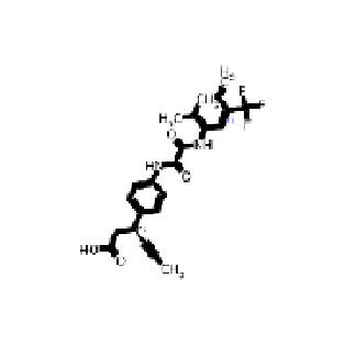 C=C/C(=C\C(NC(=O)C(=O)Nc1ccc([C@@H](C#CC)CC(=O)O)cc1)=C(C)C)C(F)(F)F